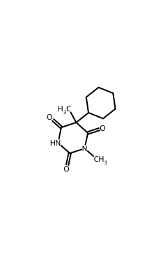 CN1C(=O)NC(=O)C(C)(C2CCCCC2)C1=O